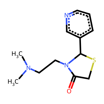 CN(C)CCN1C(=O)CSC1c1cccnc1